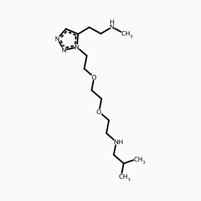 CNCCc1cnnn1CCOCCOCCNCC(C)C